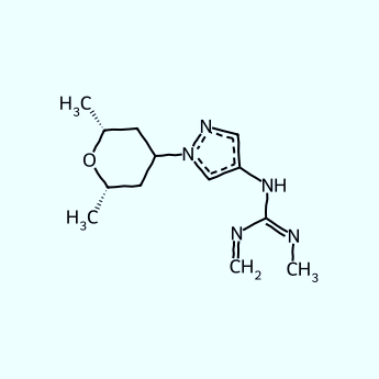 C=N/C(=N\C)Nc1cnn(C2C[C@@H](C)O[C@@H](C)C2)c1